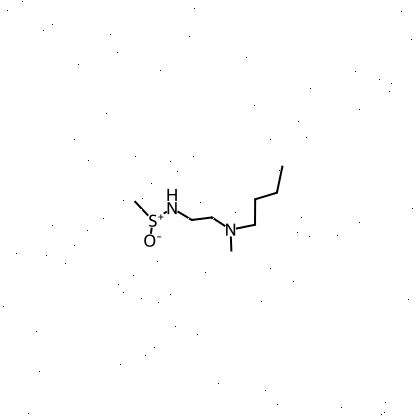 CCCCN(C)CCN[S+](C)[O-]